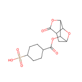 O=C(OC1C2CC3C(=O)OC1C3O2)C1CCC(S(=O)(=O)O)CC1